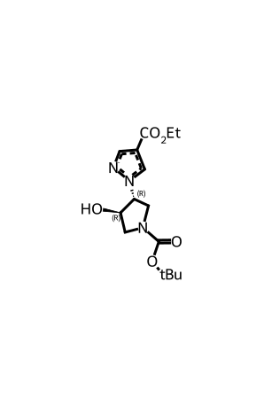 CCOC(=O)c1cnn([C@@H]2CN(C(=O)OC(C)(C)C)C[C@H]2O)c1